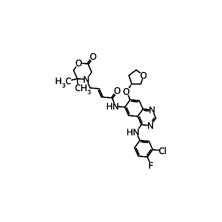 CC1(C)COC(=O)CN1C/C=C/C(=O)Nc1cc2c(Nc3ccc(F)c(Cl)c3)ncnc2cc1O[C@H]1CCOC1